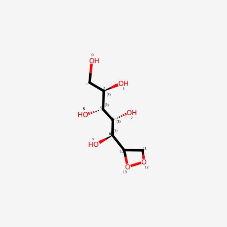 OC[C@@H](O)[C@@H](O)[C@H](O)[C@H](O)C1COO1